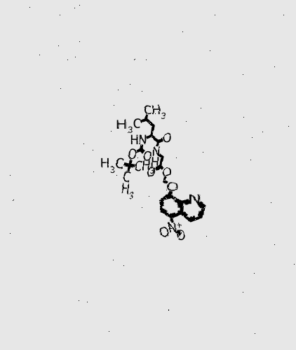 CC(C)CC(NC(=O)OC(C)(C)C)C(=O)NCC(=O)OCOc1ccc([N+](=O)[O-])c2cccnc12